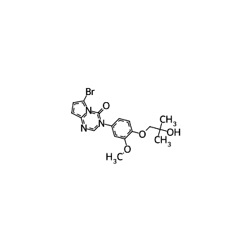 COc1cc(-n2cnc3ccc(Br)n3c2=O)ccc1OCC(C)(C)O